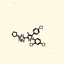 Cc1c(-c2nnn(C3CCCC3)n2)nn(-c2ccc(Cl)cc2Cl)c1-c1ccc(Cl)cc1